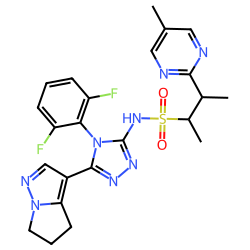 Cc1cnc(C(C)C(C)S(=O)(=O)Nc2nnc(-c3cnn4c3CCC4)n2-c2c(F)cccc2F)nc1